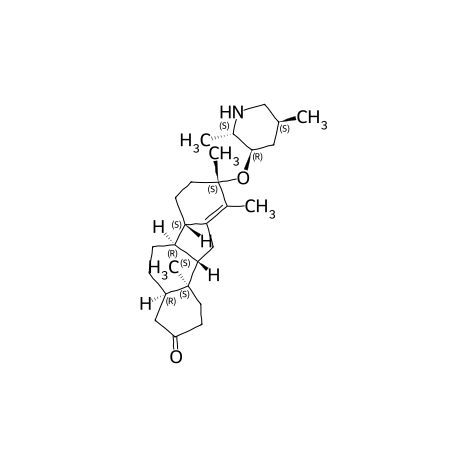 CC1=C2C[C@H]3[C@@H](CC[C@@H]4CC(=O)CC[C@@]43C)[C@@H]2CC[C@]1(C)O[C@@H]1C[C@H](C)CN[C@H]1C